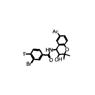 CC(=O)c1ccc2c(c1)C(NC(=O)c1ccc(F)c(Br)c1)C(O)C(C)(C)O2